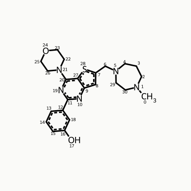 CN1CCCN(Cc2cc3nc(-c4cccc(O)c4)nc(N4CCOCC4)c3s2)CC1